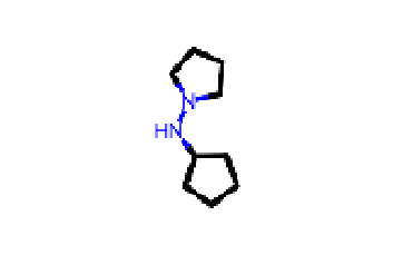 C1CCC(NN2CCCC2)C1